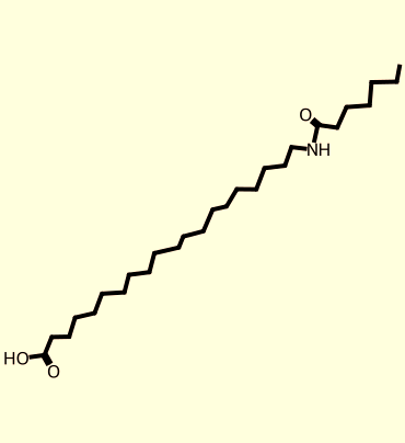 CCCCCCC(=O)NCCCCCCCCCCCCCCCCCCCC(=O)O